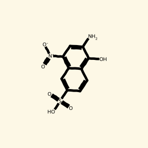 Nc1cc([N+](=O)[O-])c2cc(S(=O)(=O)O)ccc2c1O